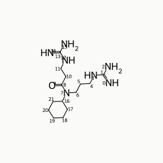 N=C(N)NCCCN(C(=O)CCNC(=N)N)C1CCCCC1